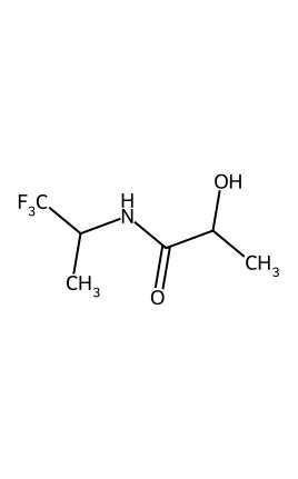 CC(O)C(=O)NC(C)C(F)(F)F